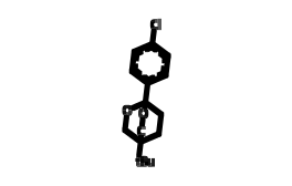 CC(C)(C)C12CCC(c3ccc(Cl)cc3)(OC1)OC2